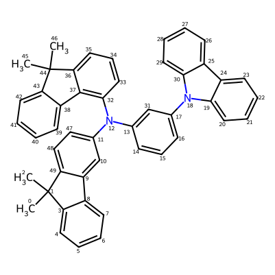 CC1(C)c2ccccc2-c2cc(N(c3cccc(-n4c5ccccc5c5ccccc54)c3)c3cccc4c3-c3ccccc3C4(C)C)ccc21